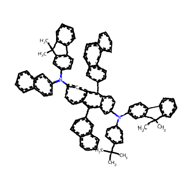 CC(C)(C)c1ccc(N(c2ccc3c(c2)C(C)(C)c2ccccc2-3)c2ccc3c(-c4ccc5c(ccc6ccccc65)c4)c4cc(N(c5ccc6c(c5)C(C)(C)c5ccccc5-6)c5ccc6ccccc6c5)ccc4c(-c4ccc5ccccc5c4)c3c2)cc1